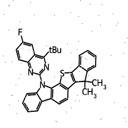 CC(C)(C)c1nc(-n2c3ccccc3c3ccc4c5c(sc4c32)-c2ccccc2C5(C)C)nc2ccc(F)cc12